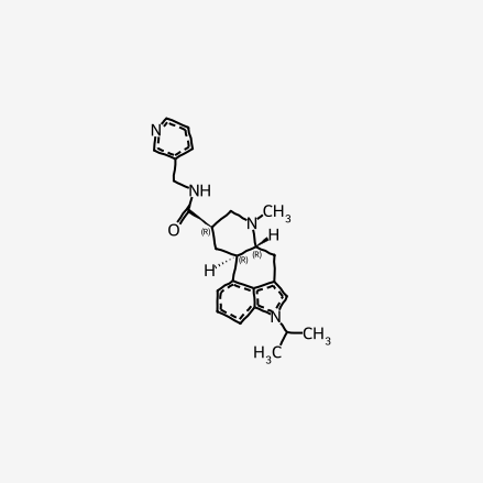 CC(C)n1cc2c3c(cccc31)[C@H]1C[C@@H](C(=O)NCc3cccnc3)CN(C)[C@@H]1C2